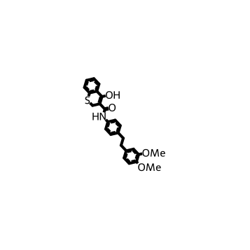 COc1ccc(CCc2ccc(NC(=O)C3=C(O)c4ccccc4SC3)cc2)cc1OC